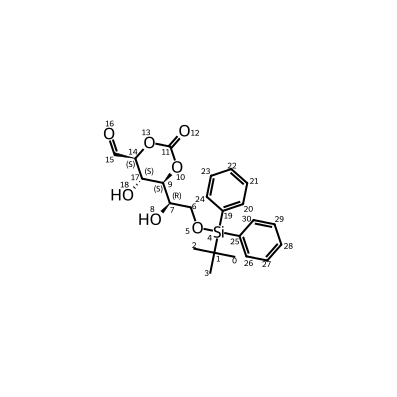 CC(C)(C)[Si](OC[C@@H](O)[C@@H]1OC(=O)O[C@H](C=O)[C@H]1O)(c1ccccc1)c1ccccc1